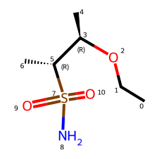 CCO[C@H](C)[C@@H](C)S(N)(=O)=O